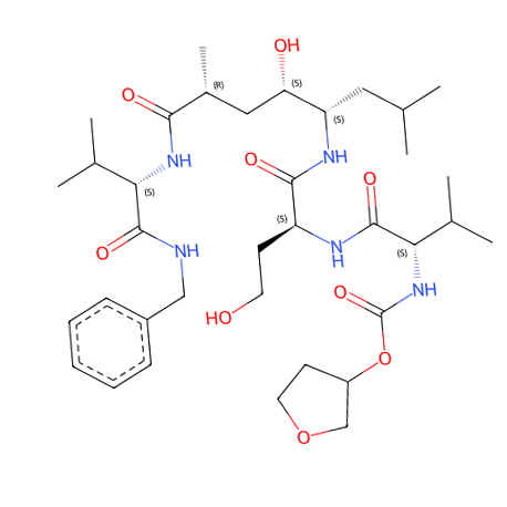 CC(C)C[C@H](NC(=O)[C@H](CCO)NC(=O)[C@@H](NC(=O)OC1CCOC1)C(C)C)[C@@H](O)C[C@@H](C)C(=O)N[C@H](C(=O)NCc1ccccc1)C(C)C